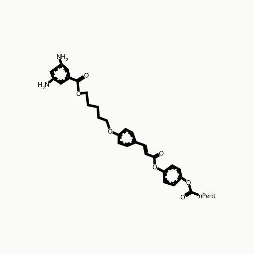 CCCCCC(=O)Oc1ccc(OC(=O)C=Cc2ccc(OCCCCCOC(=O)c3cc(N)cc(N)c3)cc2)cc1